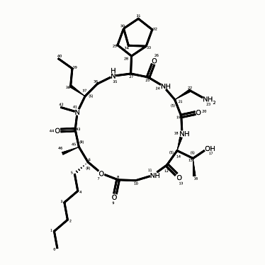 CCCCCC[C@H]1OC(=O)CNC(=O)[C@H]([C@H](C)O)NC(=O)[C@H](CN)NC(=O)C(C2CC3CCC2C3)NC[C@H](CCC)N(C)C(=O)[C@@H]1C